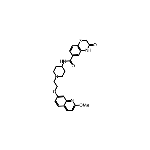 COc1ccc2ccc(OCCN3CCC(NC(=O)c4ccc5c(c4)NC(=O)CS5)CC3)cc2n1